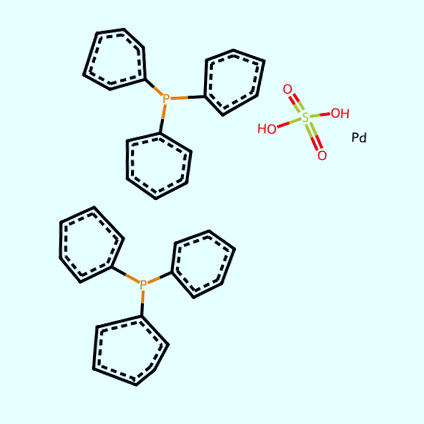 O=S(=O)(O)O.[Pd].c1ccc(P(c2ccccc2)c2ccccc2)cc1.c1ccc(P(c2ccccc2)c2ccccc2)cc1